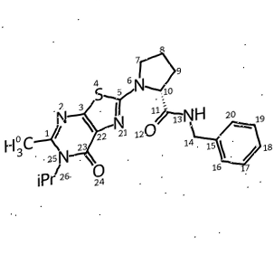 Cc1nc2sc(N3CCC[C@@H]3C(=O)NCc3ccccc3)nc2c(=O)n1C(C)C